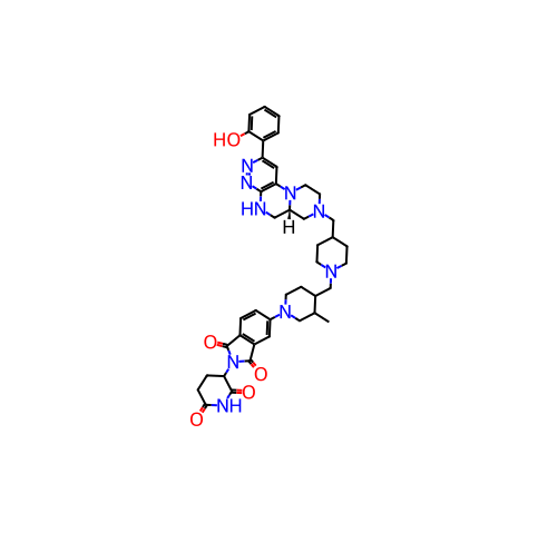 CC1CN(c2ccc3c(c2)C(=O)N(C2CCC(=O)NC2=O)C3=O)CCC1CN1CCC(CN2CCN3c4cc(-c5ccccc5O)nnc4NC[C@H]3C2)CC1